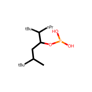 CCCC(C(CC(C)C(C)(C)C)OP(O)O)C(C)(C)C